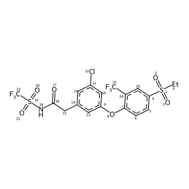 CCS(=O)(=O)c1ccc(Oc2cc(Cl)cc(CC(=O)NS(=O)(=O)C(F)(F)F)c2)c(C(F)(F)F)c1